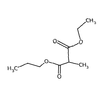 CCCOC(=O)C(C)C(=O)OCC